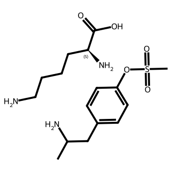 CC(N)Cc1ccc(OS(C)(=O)=O)cc1.NCCCC[C@H](N)C(=O)O